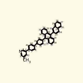 Cc1cncc(-c2ccc(-c3ccc(-c4c5ccccc5c(-c5ccc6ccccc6c5)c5ccccc45)cc3)cc2)c1